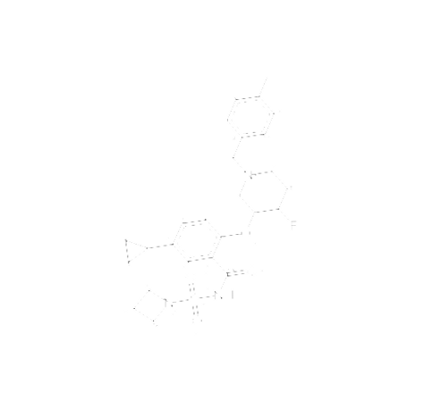 Cc1ccc(CN2CCC(F)C(Oc3ccc(C4CC4)cc3C(=O)NS(=O)(=O)N3CCC3)C2)cc1